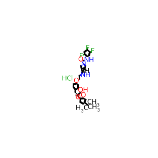 CC(C)(C)c1ccc(O[C@@H](Cc2ccc(OCCN[C@H]3C4CN(C(=O)Nc5cc(F)c(F)cc5F)C[C@@H]43)cc2)C(=O)O)cc1.Cl